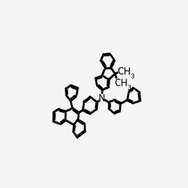 CC1(C)c2ccccc2-c2ccc(N(c3ccc(-c4c(-c5ccccc5)c5ccccc5c5ccccc45)cc3)c3cccc(-c4ccccc4)c3)cc21